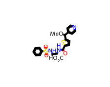 COC(c1ccncc1)c1ccc(C(=O)NCC(NS(=O)(=O)c2ccccc2)C(=O)O)s1